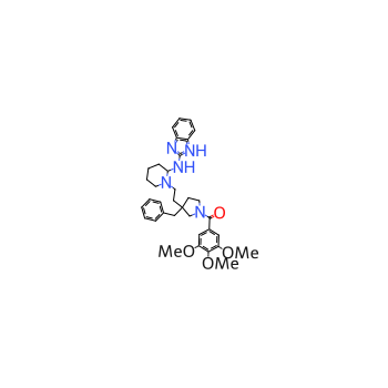 COc1cc(C(=O)N2CCC(CCN3CCCCC3Nc3nc4ccccc4[nH]3)(Cc3ccccc3)C2)cc(OC)c1OC